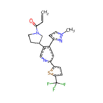 C=CC(=O)N1CCC(c2cnc(-c3ccc(C(F)(F)F)s3)cc2-c2ccn(C)n2)C1